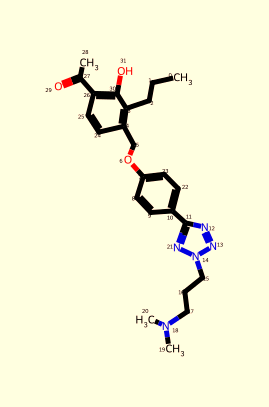 CCCc1c(COc2ccc(-c3nnn(CCCN(C)C)n3)cc2)ccc(C(C)=O)c1O